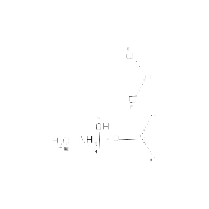 CC(C)=O.CO.ClCCl.N.O